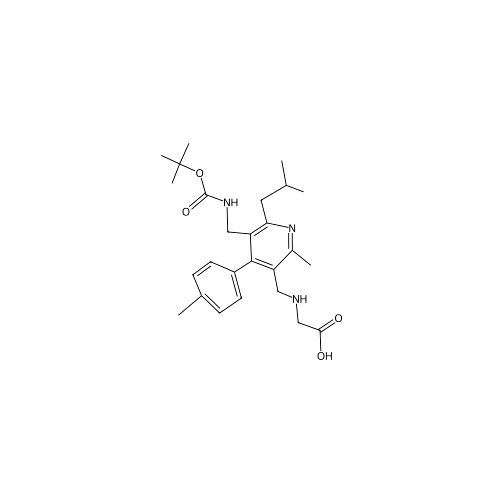 Cc1ccc(-c2c(CNCC(=O)O)c(C)nc(CC(C)C)c2CNC(=O)OC(C)(C)C)cc1